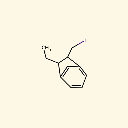 CCC1c2cccc(c2)C1CI